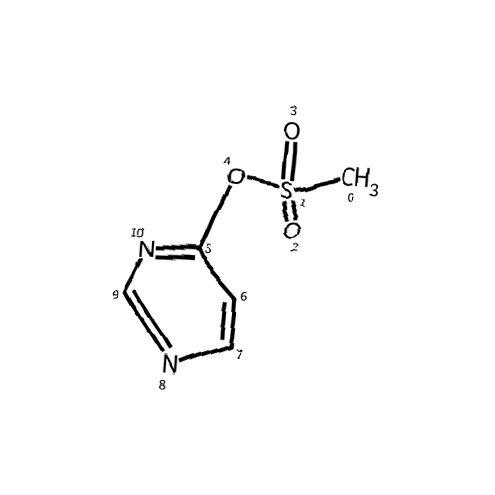 CS(=O)(=O)Oc1ccncn1